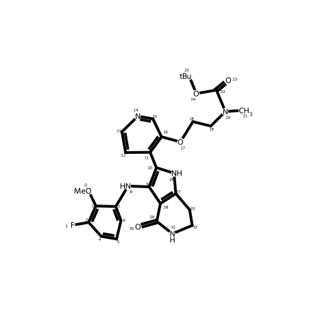 COc1c(F)cccc1Nc1c(-c2ccncc2OCCN(C)C(=O)OC(C)(C)C)[nH]c2c1C(=O)NCC2